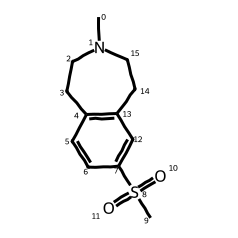 CN1CCc2ccc(S(C)(=O)=O)cc2CC1